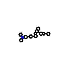 C1CCC(C2CC3CCC(C4C5CCCCC5CC5CC6C(C7CCC(C8CCC(N(C9CCCCC9)C9CCCCC9)CC8)CC7)CCCC6C54)CC3C2)CC1